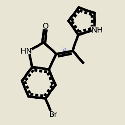 C/C(=C1/C(=O)Nc2ccc(Br)cc21)c1ccc[nH]1